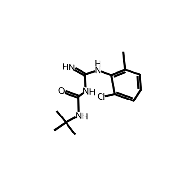 Cc1cccc(Cl)c1NC(=N)NC(=O)NC(C)(C)C